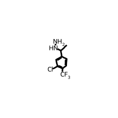 CC(NN)c1ccc(C(F)(F)F)c(Cl)c1